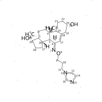 C[C@]12CC[C@H]3[C@@H](C(=NOCCCn4ccnc4)C=C4C[C@@H](O)CC[C@@]43C)[C@@H]1CC[C@@H]2O